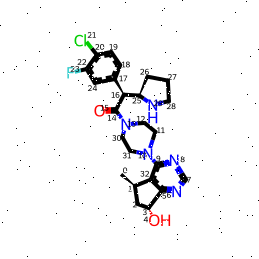 C[C@@H]1C[C@@H](O)c2ncnc(N3CCN(C(=O)[C@@H](c4ccc(Cl)c(F)c4)[C@H]4CCCN4)CC3)c21